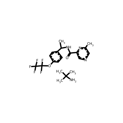 CC(C)(C)N.Cc1cncc(C(=O)NC(C)c2ccc(OC(F)(F)C(F)(F)F)cc2)n1